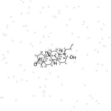 CCC[C@H]1[C@H](O)CC[C@]2(C)[C@H]3CC[C@]4(C)C(=O)CC[C@H]4[C@@H]3CC[C@@H]12